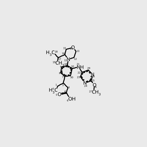 CCC(CC(=O)O)c1ccc(N2CCOCC2C(C)C)c(Nc2cnc(OC)nc2)c1